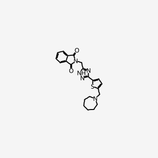 O=C1c2ccccc2C(=O)N1Cc1nc(-c2ccc(CN3CCCCCC3)s2)n[nH]1